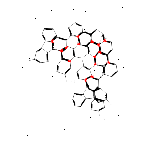 CC(C)(C)c1ccc(-c2cccc(-c3cccc(-c4cccc(-c5ccc(C(C)(C)C)cc5)c4)c3N3c4cc(-n5c6ccccc6c6cc(F)ccc65)ccc4B4c5ccc(-n6c7ccccc7c7cc(F)ccc76)cc5N(c5c(-c6cccc(-c7ccc(C(C)(C)C)cc7)c6)cccc5-c5cccc(-c6ccc(C(C)(C)C)cc6)c5)c5cc(C(C)(C)C)cc3c54)c2)cc1